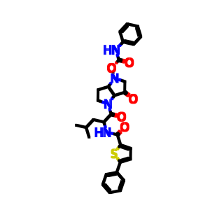 CC(C)CC(NC(=O)c1ccc(-c2ccccc2)s1)C(=O)N1CCC2C1C(=O)CN2OC(=O)Nc1ccccc1